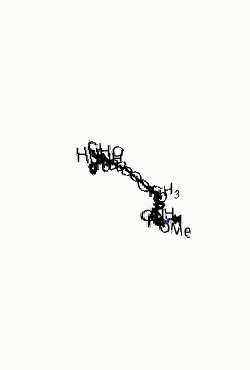 COc1cnc(C(=O)NCc2cccc(CC(=O)N(C)CCOCCOCCOCCOCCOCC(=O)Nc3nc(-c4ccccc4)c(NC=O)s3)c2)cc1/C=C/C1CC2(CC2)C1